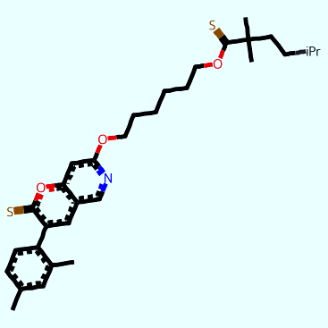 Cc1ccc(-c2cc3cnc(OCCCCCCOC(=S)C(C)(C)CCC(C)C)cc3oc2=S)c(C)c1